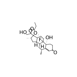 CCC(=O)O[C@]1(C(=O)CO)[C@@H](C)C[C@H]2[C@@H]3C[C@H](C)C4=CC(=O)CC[C@]4(C)[C@@]3(F)[C@@H](O)C[C@@]21C